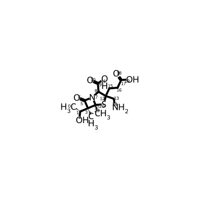 C[C@@H](O)[C@@]1(C)C(=O)N2C(C(=O)O)C(CN)(CCC(=O)O)S[C@@]21C